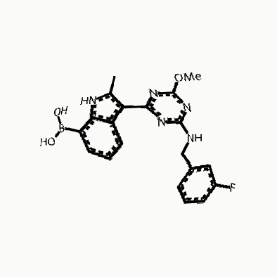 COc1nc(NCc2cccc(F)c2)nc(-c2c(C)[nH]c3c(B(O)O)cccc23)n1